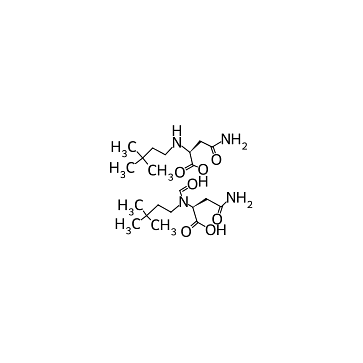 CC(C)(C)CCN(C=O)[C@@H](CC(N)=O)C(=O)O.CC(C)(C)CCN[C@@H](CC(N)=O)C(=O)O